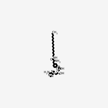 CCCCCCCCCCCCCCCCNC(=O)[C@@H](N)Cc1ccc(OP(=O)(O)CO[C@H](CO)Cn2cnc3c(N)ncnc32)cc1